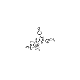 Cn1cc(-n2nc(-c3ccc(Cl)cc3)cc(C(=O)NC3(CO)CCCN(C(=O)O)C3C(C)(C)C)c2=O)cn1